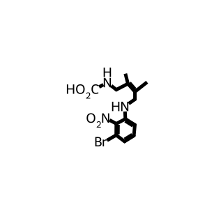 CC(CNC(=O)O)=C(C)CNc1cccc(Br)c1[N+](=O)[O-]